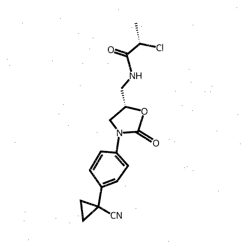 C[C@H](Cl)C(=O)NC[C@H]1CN(c2ccc(C3(C#N)CC3)cc2)C(=O)O1